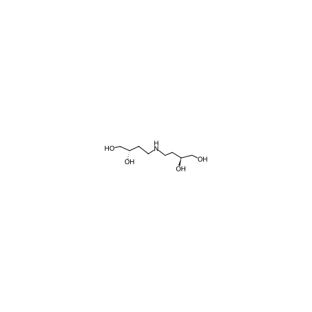 OC[C@@H](O)CCNCC[C@H](O)CO